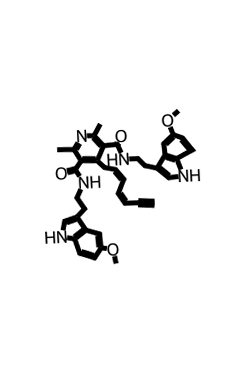 C#C/C=C\C=C/Cc1c(C(=O)NCCc2c[nH]c3ccc(OC)cc23)c(C)nc(C)c1C(=O)NCCc1c[nH]c2ccc(OC)cc12